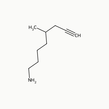 C#CCC(C)CCCCN